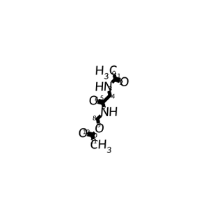 CC(=O)NCC(=O)NCOC(C)=O